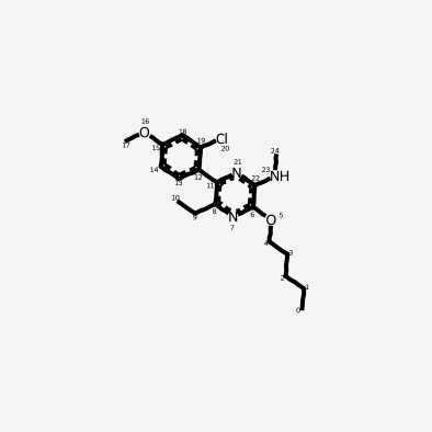 CCCCCOc1nc(CC)c(-c2ccc(OC)cc2Cl)nc1NC